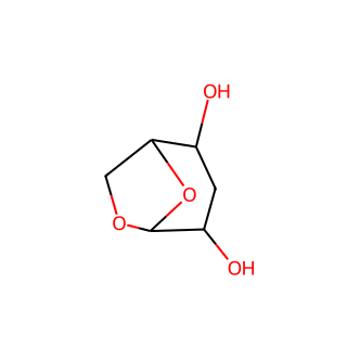 OC1CC(O)C2OCC1O2